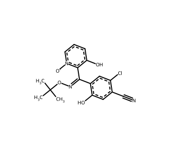 CC(C)(C)ON=C(c1cc(Cl)c(C#N)cc1O)c1c(O)ccc[n+]1[O-]